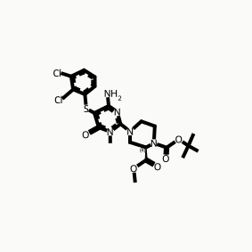 COC(=O)[C@H]1CN(c2nc(N)c(Sc3cccc(Cl)c3Cl)c(=O)n2C)CCN1C(=O)OC(C)(C)C